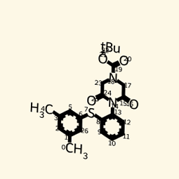 Cc1cc(C)cc(Sc2ccccc2N2C(=O)CN(C(=O)OC(C)(C)C)CC2=O)c1